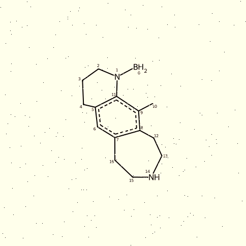 BN1CCCc2cc3c(c(C)c21)CCNCC3